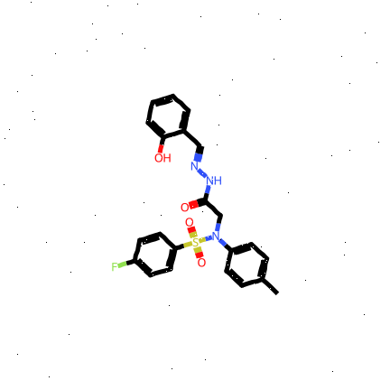 Cc1ccc(N(CC(=O)NN=Cc2ccccc2O)S(=O)(=O)c2ccc(F)cc2)cc1